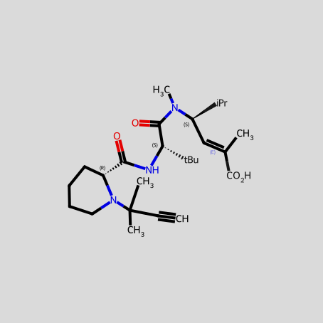 C#CC(C)(C)N1CCCC[C@@H]1C(=O)N[C@H](C(=O)N(C)[C@H](/C=C(\C)C(=O)O)C(C)C)C(C)(C)C